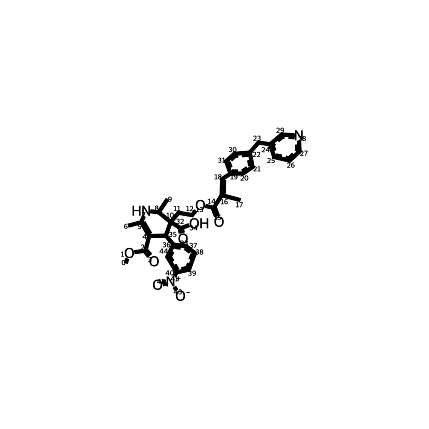 COC(=O)C1=C(C)NC(C)C(CCOC(=O)C(C)=Cc2ccc(Cc3cccnc3)cc2)(C(=O)O)C1c1cccc([N+](=O)[O-])c1